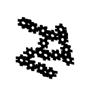 c1cc(-c2nc(-c3ccc(-n4c5ccccc5c5ccc(-c6ccc7c(c6)oc6ccccc67)cc54)cc3)c3cc(-c4ccc(-n5c6ccccc6c6ccc(-c7ccc8c(c7)oc7ccccc78)cc65)cc4)ccc3n2)cc(-n2c3ccccc3c3ccc(-c4ccc5c(c4)oc4ccccc45)cc32)c1